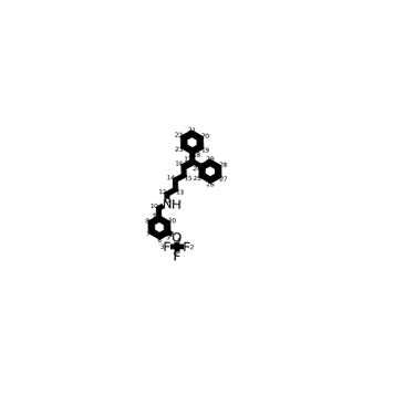 FC(F)(F)Oc1cccc(CNCCCCC=C(c2ccccc2)c2ccccc2)c1